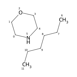 C1COCCN1.CCCCCC